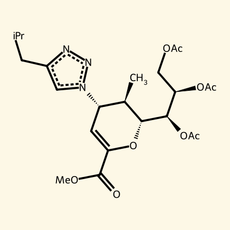 COC(=O)C1=C[C@H](n2cc(CC(C)C)nn2)[C@@H](C)[C@H]([C@H](OC(C)=O)[C@@H](COC(C)=O)OC(C)=O)O1